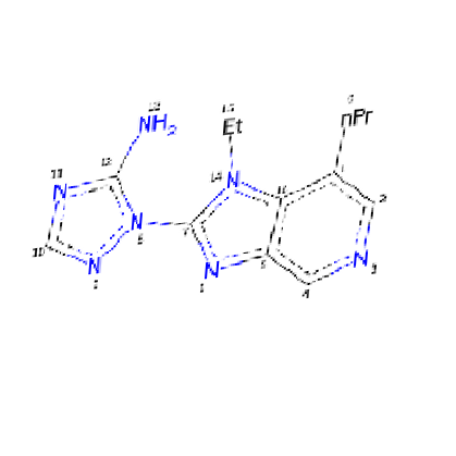 CCCc1cncc2nc(-n3ncnc3N)n(CC)c12